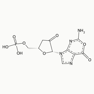 Nc1nc2c(ncn2[C@@H]2O[C@H](COP(=O)(O)O)CC2=O)c(=O)o1